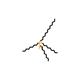 CCCCCCCCCCCCC[PH](CCCCCCCCC)(CCCCCCCCC)CCCCCCCCC